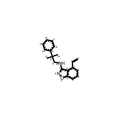 C=Cc1cccc2onc(NCC(C)(C)c3ccccc3)c12